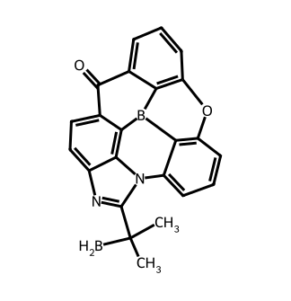 BC(C)(C)c1nc2ccc3c4c2n1-c1cccc2c1B4c1c(cccc1C3=O)O2